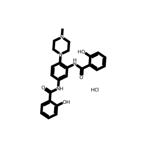 CN1CCN(c2ccc(NC(=O)c3ccccc3O)cc2NC(=O)c2ccccc2O)CC1.Cl